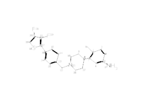 Cc1ccc(N)cc1C1CCN(Cc2ccc(-c3scc(F)c3F)cc2)CC1